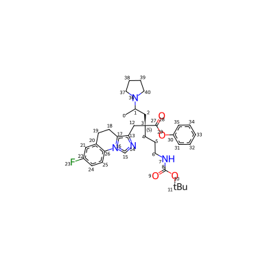 CC(C[C@@](CCCNC(=O)OC(C)(C)C)(Cc1ncn2c1CCc1cc(F)ccc1-2)C(=O)Oc1ccccc1)N1CCCC1